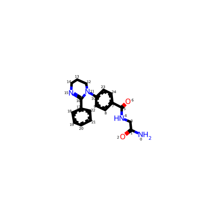 NC(=O)CNC(=O)c1ccc(N2CCCN=C2c2ccccc2)cc1